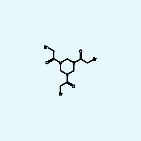 O=C(CBr)N1CN(C(=O)CBr)CN(C(=O)CBr)C1